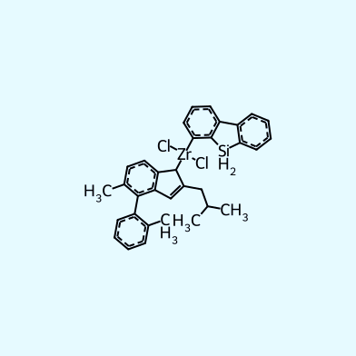 Cc1ccccc1-c1c(C)ccc2c1C=C(CC(C)C)[CH]2[Zr]([Cl])([Cl])[c]1cccc2c1[SiH2]c1ccccc1-2